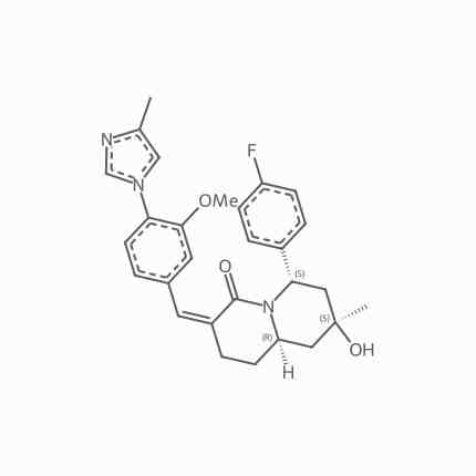 COc1cc(C=C2CC[C@@H]3C[C@](C)(O)C[C@@H](c4ccc(F)cc4)N3C2=O)ccc1-n1cnc(C)c1